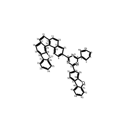 c1ccc(-c2nc(-c3ccc4c(ccc5ccc6ccc7c8ccccc8sc7c6c54)c3)nc(-c3ccc4c(c3)oc3ccccc34)n2)cc1